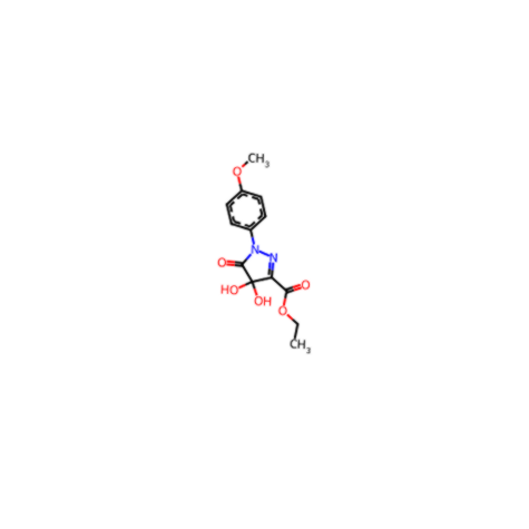 CCOC(=O)C1=NN(c2ccc(OC)cc2)C(=O)C1(O)O